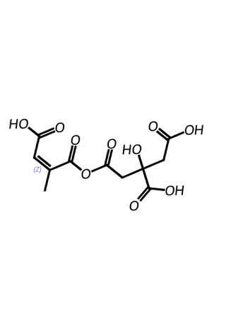 C/C(=C/C(=O)O)C(=O)OC(=O)CC(O)(CC(=O)O)C(=O)O